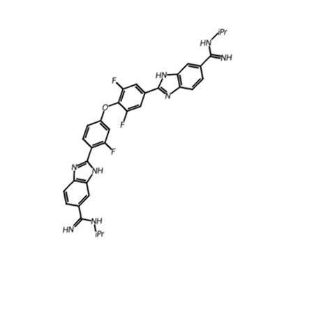 CC(C)NC(=N)c1ccc2nc(-c3cc(F)c(Oc4ccc(-c5nc6ccc(C(=N)NC(C)C)cc6[nH]5)c(F)c4)c(F)c3)[nH]c2c1